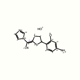 Cl.N#C/C(=C1/SCC(c2ncc(N)cc2Cl)S1)n1ccnc1